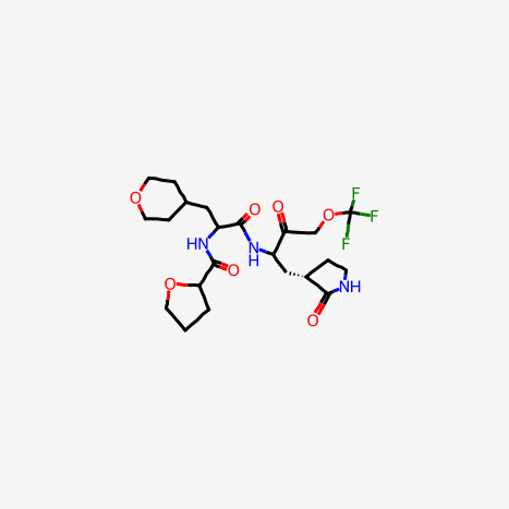 O=C(COC(F)(F)F)C(C[C@@H]1CCNC1=O)NC(=O)C(CC1CCOCC1)NC(=O)C1CCCO1